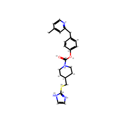 Cc1ccnc(Cc2ccc(OC(=O)N3CCC(CSc4ncc[nH]4)CC3)cc2)c1